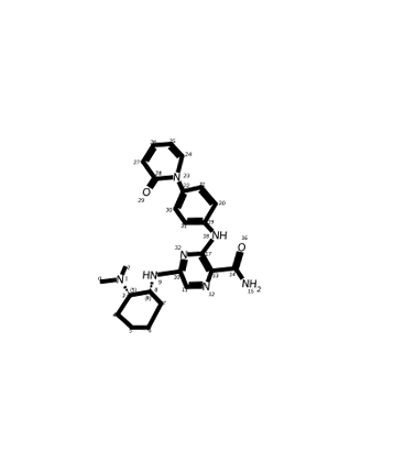 CN(C)[C@H]1CCCC[C@H]1Nc1cnc(C(N)=O)c(Nc2ccc(-n3ccccc3=O)cc2)n1